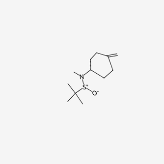 C=C1CCC(N(C)[S+]([O-])C(C)(C)C)CC1